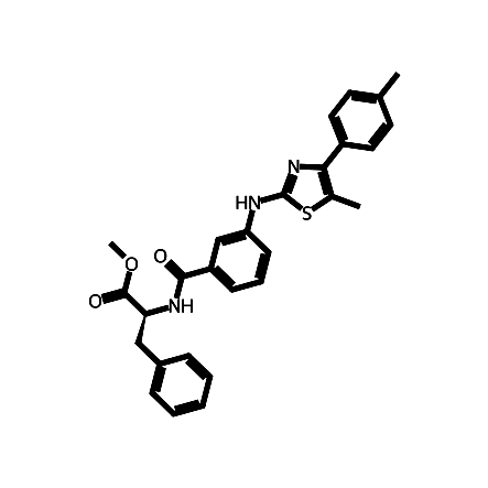 COC(=O)[C@H](Cc1ccccc1)NC(=O)c1cccc(Nc2nc(-c3ccc(C)cc3)c(C)s2)c1